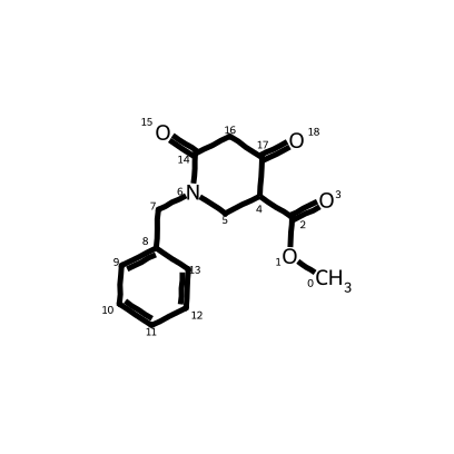 COC(=O)C1CN(Cc2ccccc2)C(=O)CC1=O